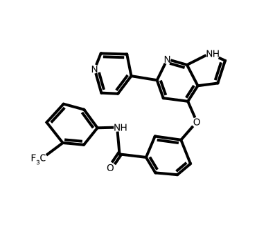 O=C(Nc1cccc(C(F)(F)F)c1)c1cccc(Oc2cc(-c3ccncc3)nc3[nH]ccc23)c1